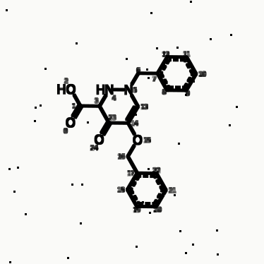 O=C(O)C1NN(Cc2ccccc2)C=C(OCc2ccccc2)C1=O